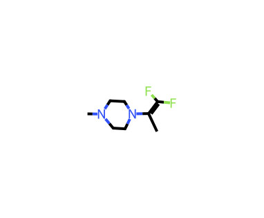 CC(=C(F)F)N1CCN(C)CC1